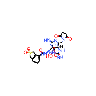 N=C1N[C@H]2[C@H](CN3C(=O)CCC3=O)NC(=N)N3CC(NC(=O)c4cccc5c4CS(=O)(=O)C5)C(O)(O)C23N1